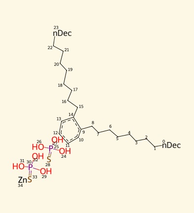 CCCCCCCCCCCCCCCCCCc1ccccc1CCCCCCCCCCCCCCCCCC.OP(O)(O)=S.OP(O)(O)=S.[Zn]